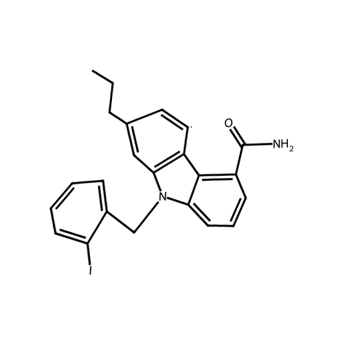 CCCc1c[c]c2c3c(C(N)=O)cccc3n(Cc3ccccc3I)c2c1